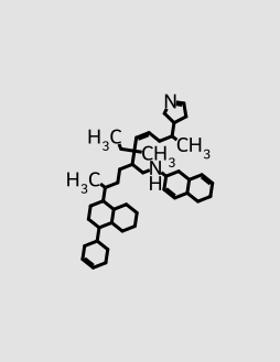 CCC(C)(/C=C\CC(C)C1CC=NC1)C(CCC(C)C1CCC(C2CC=CCC2)C2CCCCC12)CNC1C=CC2CCC=CC2C1